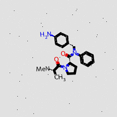 CN[C@@H](C)C(=O)N1CCC[C@H]1C(=O)N(C[C@H]1CC[C@H](N)CC1)c1ccccc1